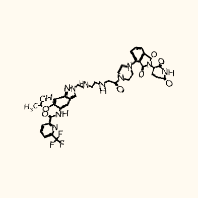 CC(C)Oc1cc2nn(CCNCCNCC(=O)N3CCN(c4cccc5c4C(=O)N(C4CCC(=O)NC4=O)C5=O)CC3)cc2cc1NC(=O)c1cccc(C(F)(F)F)n1